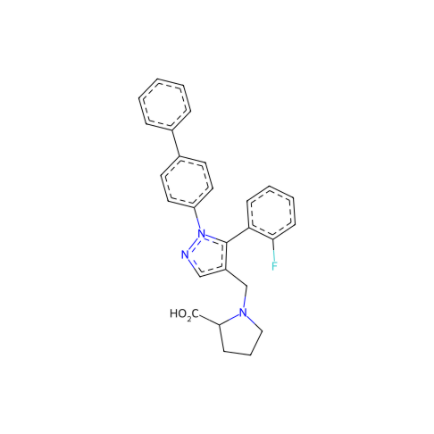 O=C(O)C1CCCN1Cc1cnn(-c2ccc(-c3ccccc3)cc2)c1-c1ccccc1F